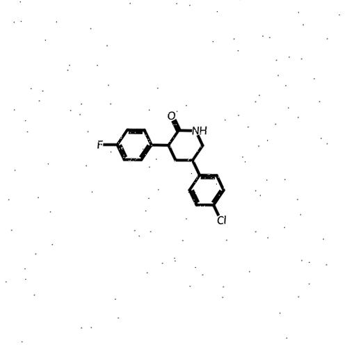 O=C1NCC(c2ccc(Cl)cc2)CC1c1ccc(F)cc1